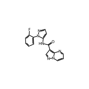 O=C(Nc1ccnn1-c1ccccc1F)c1cnn2cccnc12